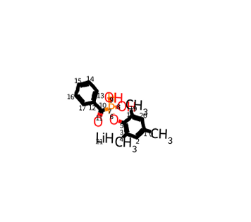 Cc1cc(C)c(O[PH](O)(O)C(=O)c2ccccc2)c(C)c1.[LiH]